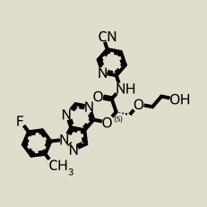 Cc1ccc(F)cc1-n1ncc2c(O[C@@H](COCCO)C(=O)Nc3ccc(C#N)cn3)ncnc21